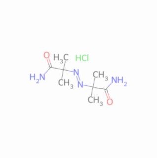 CC(C)(N=NC(C)(C)C(N)=O)C(N)=O.Cl